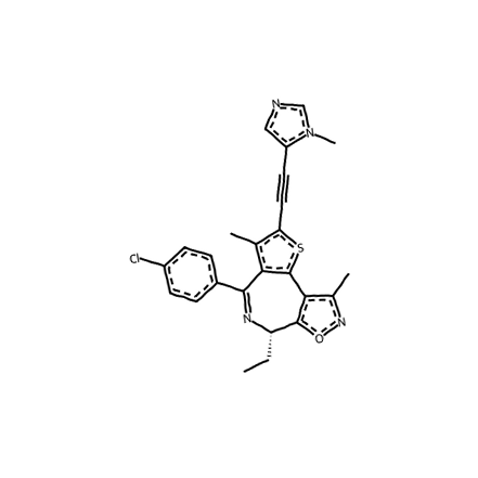 CC[C@@H]1N=C(c2ccc(Cl)cc2)c2c(sc(C#Cc3cncn3C)c2C)-c2c(C)noc21